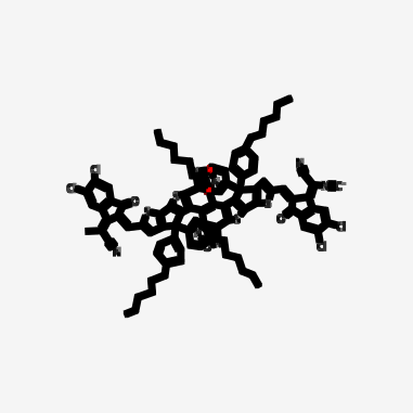 [C-]#[N+]/C(C#N)=C1/C(=C/c2cc3c(s2)-c2sc4c5nonc5c5c6c7c(sc6c6nsnc6c5c4c2C3(c2ccc(CCCCCC)cc2)c2ccc(CCCCCC)cc2)-c2sc(/C=C3\C(=O)c4cc(Cl)c(Cl)cc4\C3=C(/C)C#N)cc2C7(c2ccc(CCCCCC)cc2)c2ccc(CCCCCC)cc2)C(=O)c2cc(Cl)c(Cl)cc21